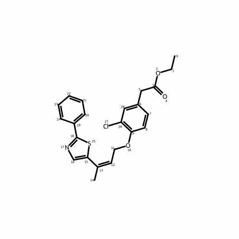 CCOC(=O)Cc1ccc(OCC=C(C)c2cnc(-c3ccccc3)s2)c(Cl)c1